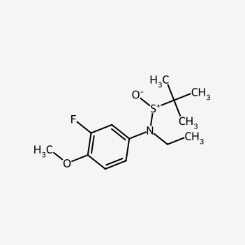 CCN(c1ccc(OC)c(F)c1)[S+]([O-])C(C)(C)C